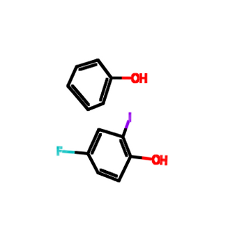 Oc1ccc(F)cc1I.Oc1ccccc1